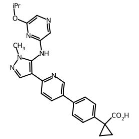 CC(C)Oc1cncc(Nc2c(-c3ccc(-c4ccc(C5(C(=O)O)CC5)cc4)cn3)cnn2C)n1